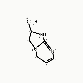 O=C(O)C1CN2CC=CN=C2N1